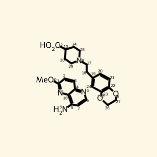 COc1ccc2nccc(N)c2n1.O=C(O)C1CCN(CCc2ccc3c(c2)OCCO3)CC1